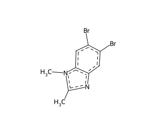 Cc1nc2cc(Br)c(Br)cc2n1C